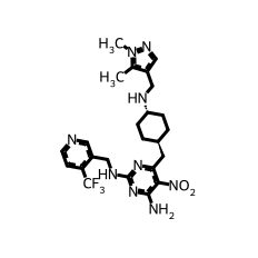 Cc1c(CN[C@H]2CC[C@H](Cc3nc(NCc4cnccc4C(F)(F)F)nc(N)c3[N+](=O)[O-])CC2)cnn1C